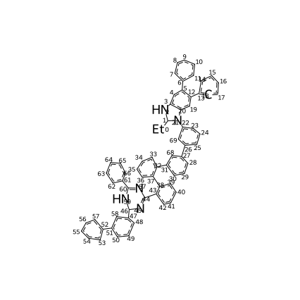 CCC1Nc2cc(-c3ccccc3)c(-c3ccccc3)cc2N1c1cccc(-c2cccc(-c3ccccc3-c3ccccc3C3=NC(c4cccc(-c5ccccc5)c4)NC(c4ccccc4)=N3)c2)c1